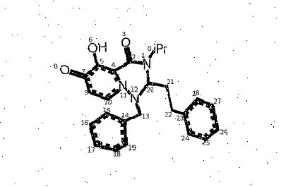 CC(C)N1C(=O)c2c(O)c(=O)ccn2N(Cc2ccccc2)C1CCc1ccccc1